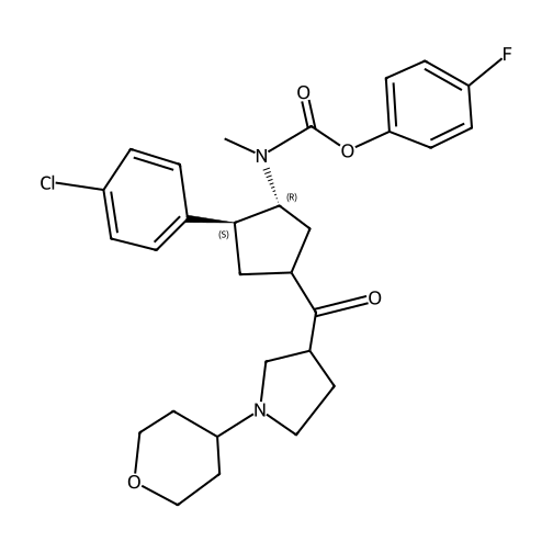 CN(C(=O)Oc1ccc(F)cc1)[C@@H]1CC(C(=O)C2CCN(C3CCOCC3)C2)C[C@H]1c1ccc(Cl)cc1